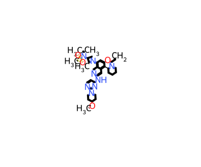 C=CC(=O)N1CCCC[C@H]1c1ccc(N2C[C@H](N(C(C)C)S(C)(=O)=O)[C@H]2C)c2cnc(Nc3ccnc(N4CCC(OC)CC4)n3)cc12